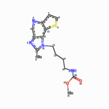 CCCCc1nc2cnc3ccsc3c2n1CCCCNC(=O)OC(C)(C)C